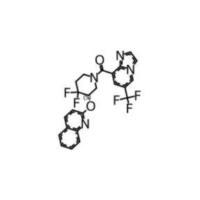 O=C(c1cc(C(F)(F)F)cn2ccnc12)N1CCC(F)(F)[C@@H](Oc2ccc3ccccc3n2)C1